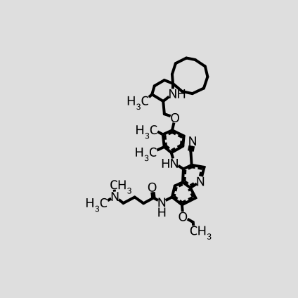 CCOc1cc2ncc(C#N)c(Nc3ccc(OCC4NC5(CCCCCCCCC5)CCC4C)c(C)c3C)c2cc1NC(=O)CCCN(C)C